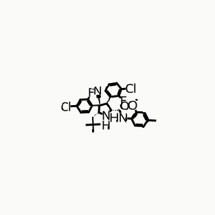 COc1cc(C)ccc1NC(=O)[C@@H]1N[C@H](CC(C)(C)C)[C@](C#N)(c2ccc(Cl)cc2F)[C@H]1c1cccc(Cl)c1F